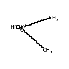 CCCCCC=CCC=CCCCCCCCCOC(OCCCCCCCCC=CCC=CCCCCC)C1CCNCC1